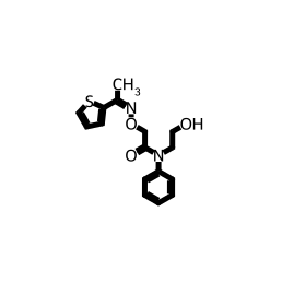 C/C(=N/OCC(=O)N(CCO)c1ccccc1)c1cccs1